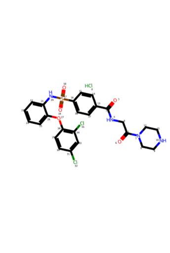 Cl.O=C(NCC(=O)N1CCNCC1)c1ccc(S(=O)(=O)Nc2ccccc2Oc2ccc(Cl)cc2Cl)cc1